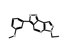 CCn1ncc2c3noc(-c4cccc(OC)c4)c3cnc21